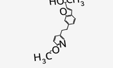 CCOc1ccc(CCc2ccc3cc(C(C)O)oc3c2)cn1